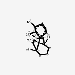 CO[C@]1(c2cccc(C#N)c2F)[C@@H]2CCC[C@H]1CN(C)C2